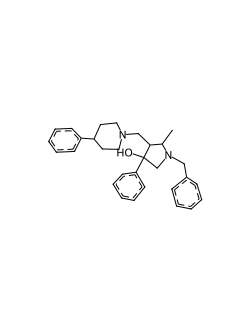 CC1C(CN2CCC(c3ccccc3)CC2)C(O)(c2ccccc2)CN1Cc1ccccc1